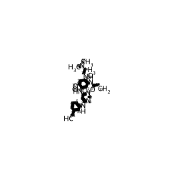 C#Cc1cccc(Nc2cc(Nc3cc(NC(=O)C=C)c(N(C)CCN(C)C)cc3OC)ncn2)c1